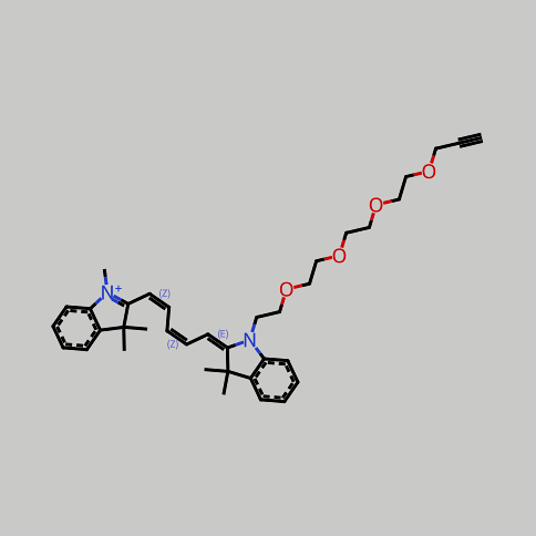 C#CCOCCOCCOCCOCCN1/C(=C/C=C\C=C/C2=[N+](C)c3ccccc3C2(C)C)C(C)(C)c2ccccc21